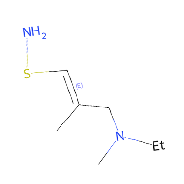 CCN(C)C/C(C)=C/SN